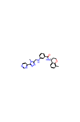 Cc1cccc2c1OCC[C@@H]2NC(=O)c1cccc(NCc2nnc(-c3ccncn3)n2C)c1